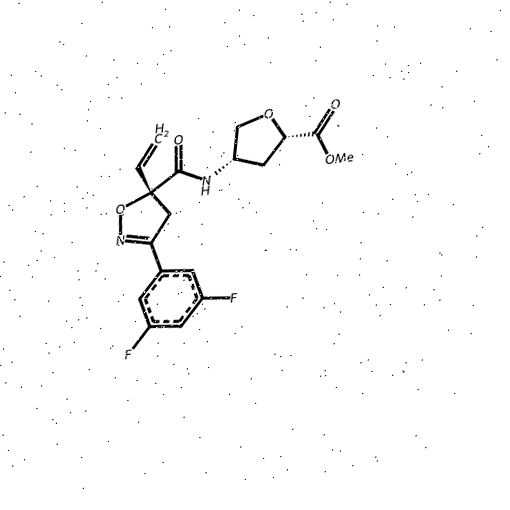 C=C[C@@]1(C(=O)N[C@@H]2CO[C@H](C(=O)OC)C2)CC(c2cc(F)cc(F)c2)=NO1